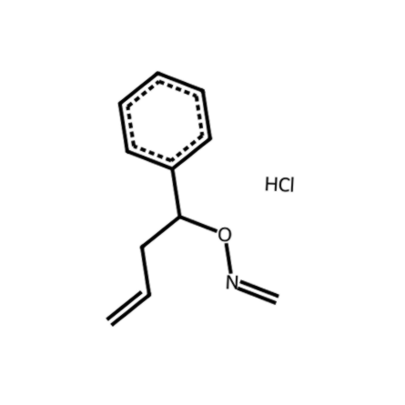 C=CCC(ON=C)c1ccccc1.Cl